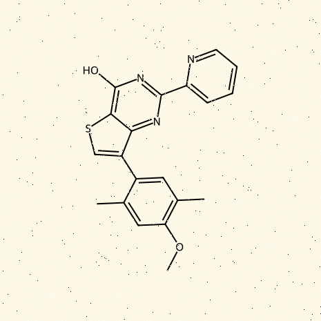 COc1cc(C)c(-c2csc3c(O)nc(-c4ccccn4)nc23)cc1C